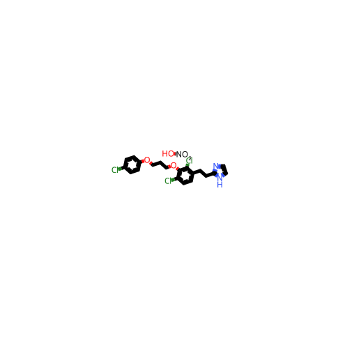 Clc1ccc(OCCCOc2c(Cl)ccc(CCc3ncc[nH]3)c2Cl)cc1.O=[N+]([O-])O